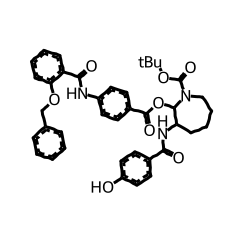 CC(C)(C)OC(=O)N1CCCCC(NC(=O)c2ccc(O)cc2)C1OC(=O)c1ccc(NC(=O)c2ccccc2OCc2ccccc2)cc1